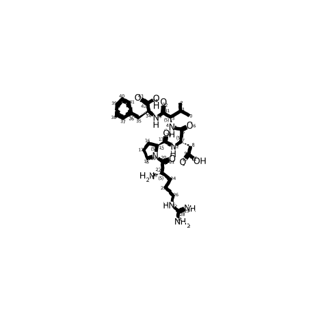 CC(C)[C@H](NC(=O)[C@H](CC(=O)O)NC(=O)[C@@H]1CCCN1C(=O)[C@@H](N)CCCNC(=N)N)C(=O)N[C@@H](Cc1ccccc1)C(=O)O